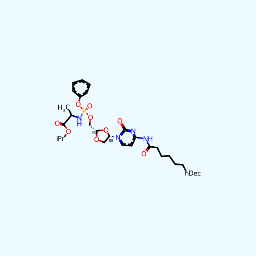 CCCCCCCCCCCCCCCC(=O)Nc1ccn([C@@H]2CO[C@H](COP(=O)(NC(C)C(=O)OC(C)C)Oc3ccccc3)O2)c(=O)n1